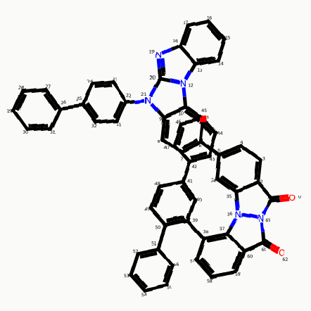 O=c1c2ccc(-c3ccc4c(c3)n3c5ccccc5nc3n4-c3ccc(-c4ccccc4)cc3)cc2n2c3c(-c4cc(-c5ccccc5)ccc4-c4ccccc4)cccc3c(=O)n12